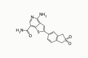 NC(=O)c1cnc(N)c2cc(-c3ccc4c(c3)CS(=O)(=O)C4)sc12